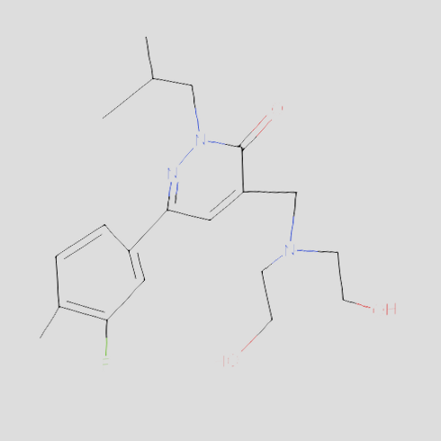 Cc1ccc(-c2cc(CN(CCO)CCO)c(=O)n(CC(C)C)n2)cc1F